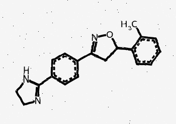 Cc1ccccc1C1CC(c2ccc(C3=NCCN3)cc2)=NO1